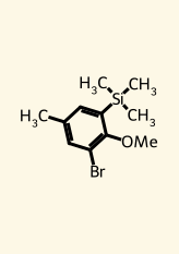 COc1c(Br)cc(C)cc1[Si](C)(C)C